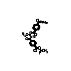 CNC(=O)c1ccc(C(=O)O[C@@H](C)NC(=O)c2ccc(C(=O)OC(C)I)cc2)cc1